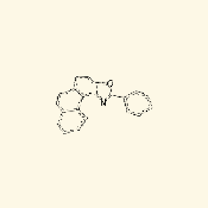 c1ccc(-c2nc3c(ccc4ccc5ccccc5c43)o2)cc1